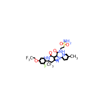 Cc1ccc(-n2nc3c(c2C(=O)NCCS(N)(=O)=O)C(=O)N[C@@](c2ccc(OCC(F)(F)F)cc2F)(C(F)(F)F)C3)nc1